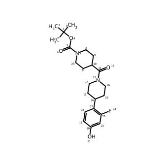 CC(C)(C)OC(=O)N1CCC(C(=O)N2CCC(c3ccc(O)cc3F)CC2)CC1